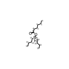 CCCCCC(=O)[O][SnH]([CH2]CCC)[CH2]CCC